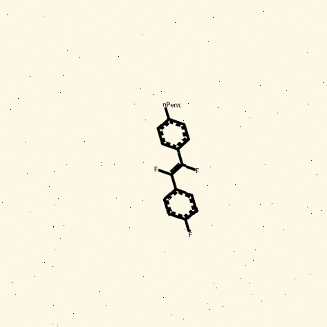 CCCCCc1ccc(C(F)=C(F)c2ccc(F)cc2)cc1